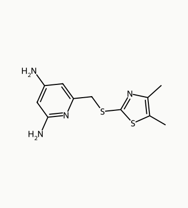 Cc1nc(SCc2cc(N)cc(N)n2)sc1C